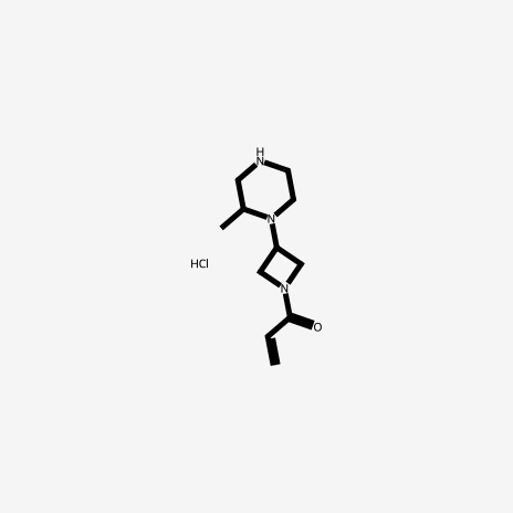 C=CC(=O)N1CC(N2CCNCC2C)C1.Cl